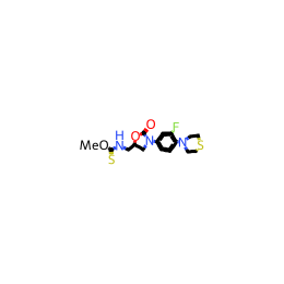 COC(=S)NCC1CN(c2ccc(N3CCSCC3)c(F)c2)C(=O)O1